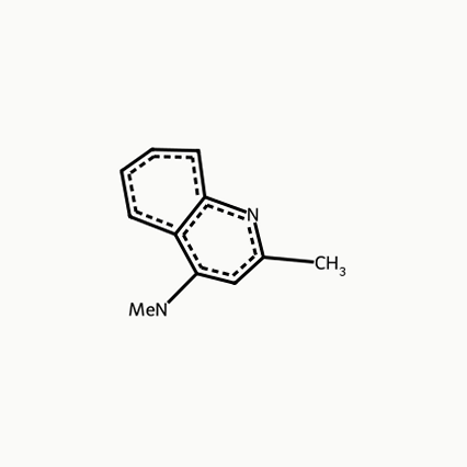 [CH2]Nc1cc(C)nc2ccccc12